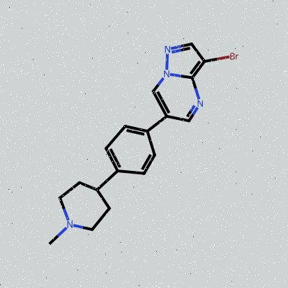 CN1CCC(c2ccc(-c3cnc4c(Br)cnn4c3)cc2)CC1